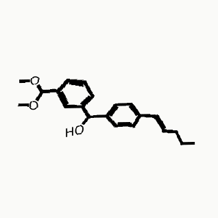 CCCC=Cc1ccc(C(O)c2cccc(C(OC)OC)c2)cc1